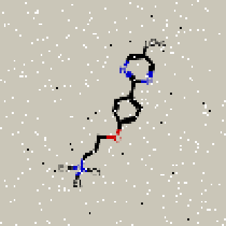 CCCCCCCCCCc1cnc(-c2ccc(OCCC[N+](CC)(CC)CC)cc2)nc1